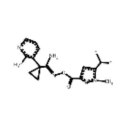 Cc1ncccc1C1(/C(N)=N/OC(=O)c2cc(C(F)F)n(C)n2)CC1